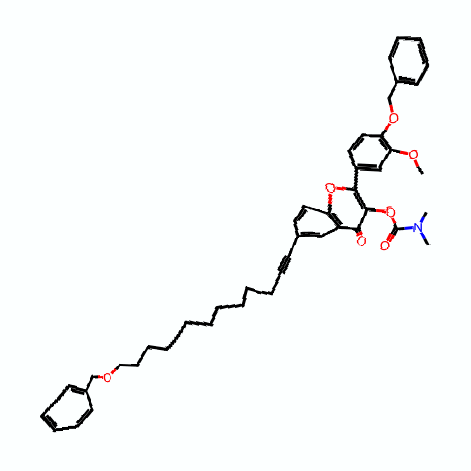 COc1cc(-c2oc3ccc(C#CCCCCCCCCCCOCc4ccccc4)cc3c(=O)c2OC(=O)N(C)C)ccc1OCc1ccccc1